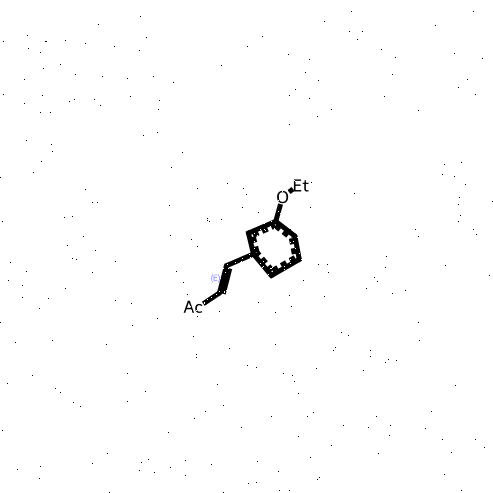 CCOc1cccc(/C=C/C(C)=O)c1